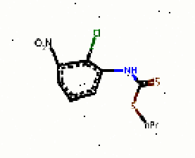 CCCSC(=S)Nc1cccc([N+](=O)[O-])c1Cl